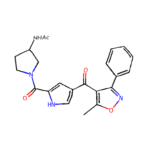 CC(=O)NC1CCN(C(=O)c2cc(C(=O)c3c(-c4ccccc4)noc3C)c[nH]2)C1